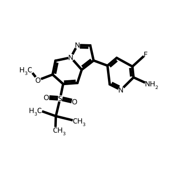 COc1cn2ncc(-c3cnc(N)c(F)c3)c2cc1S(=O)(=O)C(C)(C)C